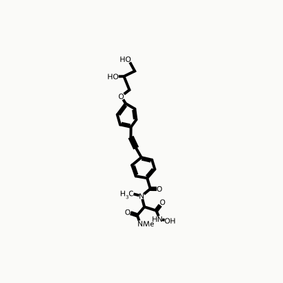 CNC(=O)C(C(=O)NO)N(C)C(=O)c1ccc(C#Cc2ccc(OCC(O)CO)cc2)cc1